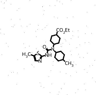 CCOC(=O)C1CCC(N(C(=O)Nc2ncc(C)s2)C2CCC(C)CC2)CC1